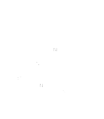 CCc1nc(NC2CCC2)c2cc(C)sc2n1